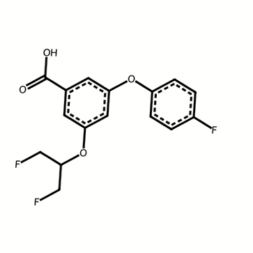 O=C(O)c1cc(Oc2ccc(F)cc2)cc(OC(CF)CF)c1